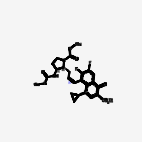 CCOC(=O)c1cn(C2CC2)c2c(/C=C\C[C@@H]3[C@@H](NC(=O)OC(C)(C)C)CCN3C(=O)OC(C)(C)C)c(F)c(F)cc2c1=O